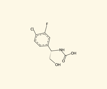 O=C(O)N[C@H](CO)c1ccc(Cl)c(F)c1